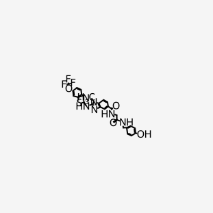 Cn1c(Nc2nc3ccc(OC(F)(F)F)cc3s2)nc2cc(C(=O)NCC(=O)NCc3ccc(O)cc3)ccc21